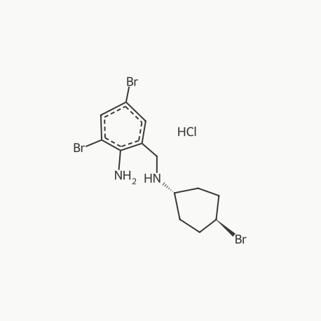 Cl.Nc1c(Br)cc(Br)cc1CN[C@H]1CC[C@H](Br)CC1